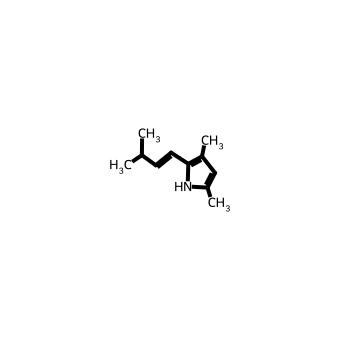 Cc1cc(C)c(/C=C/C(C)C)[nH]1